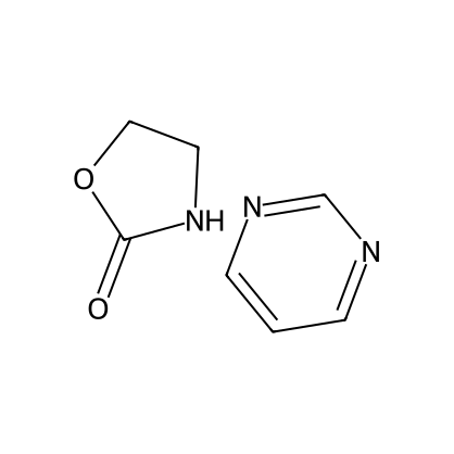 O=C1NCCO1.c1cncnc1